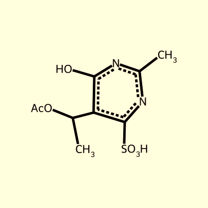 CC(=O)OC(C)c1c(O)nc(C)nc1S(=O)(=O)O